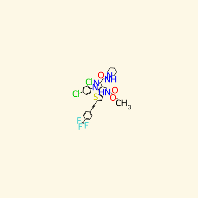 CCOC(=O)NCc1c(C(=O)NN2CCCCC2)nn(-c2ccc(Cl)cc2Cl)c1-c1ccc(C#Cc2ccc(C(F)(F)F)cc2)s1